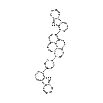 c1ccc2c(c1)oc1c(-c3ccc(-c4ccc5ccc6c(-c7cccc8c7oc7ccccc78)ccc7ccc4c5c76)cc3)cccc12